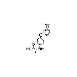 C[C@H](Nc1ccc(Oc2cccc(N(C)C)c2)cc1)C(=O)O